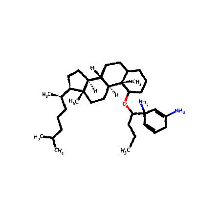 CCCC(OC1CCCC2CC[C@@H]3[C@H](CC[C@]4(C)[C@@H]([C@H](C)CCCC(C)C)CC[C@@H]34)[C@]21C)C1(N)C=CCC(N)=C1